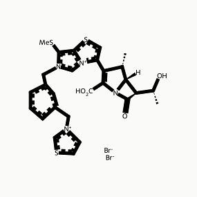 CSc1c2scc(C3=C(C(=O)O)N4C(=O)[C@H]([C@@H](C)O)[C@H]4[C@H]3C)[n+]2cn1Cc1cccc(C[n+]2ccsc2)c1.[Br-].[Br-]